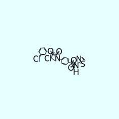 O=C1[C@H](Oc2cccc(Cl)c2Cl)CCN1c1ccc(S(=O)(=O)Nc2nccs2)cc1